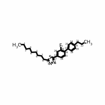 CCCCCCCCCc1nnc(-c2ccc(-c3ccc(CCC)cc3)c(F)c2)s1